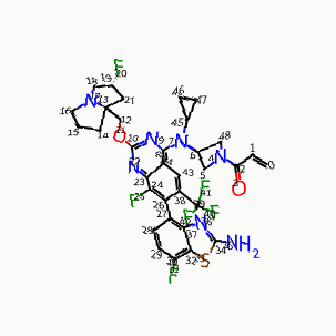 C=CC(=O)N1CC(N(c2nc(OCC34CCCN3C[C@H](F)C4)nc3c(F)c(-c4ccc(F)c5sc(N)nc45)c(C(F)(F)F)cc23)C2CC2)C1